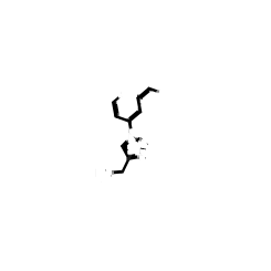 C\C=C/C=C(\C=C/C)n1cc(CN)nn1